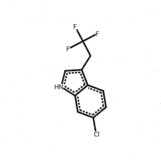 FC(F)(F)Cc1c[nH]c2cc(Cl)ccc12